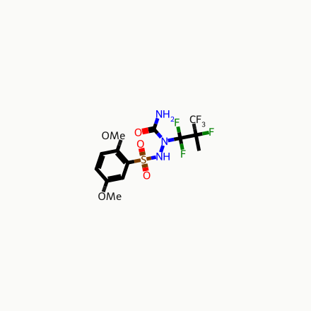 COc1ccc(OC)c(S(=O)(=O)NN(C(N)=O)C(F)(F)C(C)(F)C(F)(F)F)c1